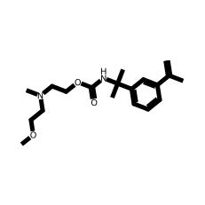 C=C(C)c1cccc(C(C)(C)NC(=O)OCCN(C)CCOC)c1